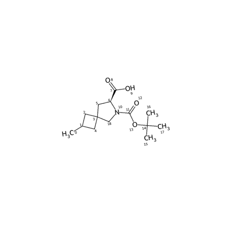 CC1CC2(C1)C[C@@H](C(=O)O)N(C(=O)OC(C)(C)C)C2